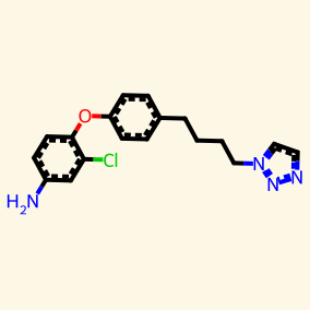 Nc1ccc(Oc2ccc(CCCCn3ccnn3)cc2)c(Cl)c1